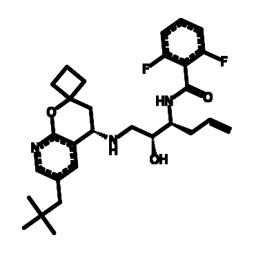 C=CC[C@H](NC(=O)c1c(F)cccc1F)[C@H](O)CN[C@H]1CC2(CCC2)Oc2ncc(CC(C)(C)C)cc21